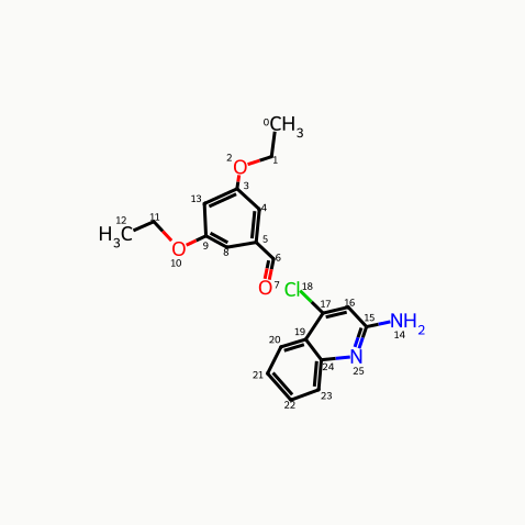 CCOc1cc(C=O)cc(OCC)c1.Nc1cc(Cl)c2ccccc2n1